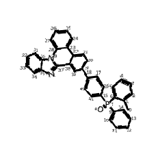 Cc1ccccc1P(=O)(c1ccccc1)c1ccc(-c2ccc3c4ccccc4n4c5ccccc5nc4c3c2)cc1